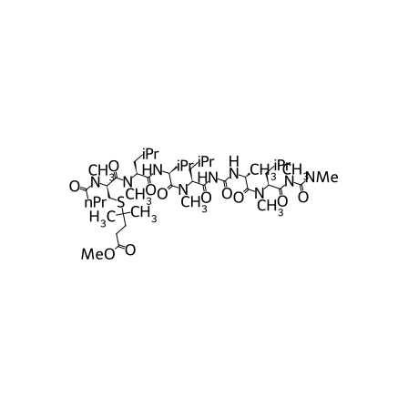 CCCC(=O)N(C)[C@H](CSC(C)(C)CCC(=O)OC)C(=O)N(C)[C@@H](CC(C)C)C(=O)N[C@H](C(=O)N(C)[C@@H](CC(C)C)C(=O)NC(=O)N[C@@H](C)C(=O)N(C)[C@@H](CC(C)C)C(=O)N(C)C(=O)NC)C(C)C